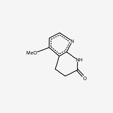 COc1ccnc2c1CCC(=O)N2